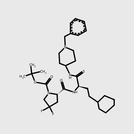 CC(C)(C)OC(=O)N1CC(F)(F)C[C@H]1C(=O)N[C@H](CCC1CCCCC1)C(=S)NC1CCN(Cc2ccccc2)CC1